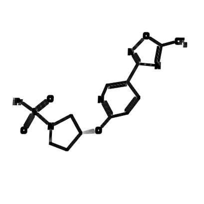 CC(C)S(=O)(=O)N1CC[C@@H](Oc2ccc(-c3noc(C(F)(F)F)n3)cn2)C1